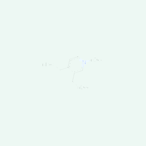 CCCCCCCCCCCc1cc[n+](CCCCCCCCCC)cc1CCCCCCCCCCC